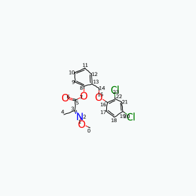 CON=C(C)C(=O)Oc1ccccc1COc1ccc(Cl)cc1Cl